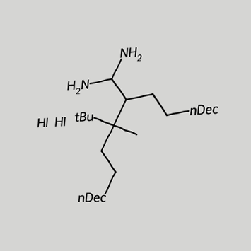 CCCCCCCCCCCCC(C(N)N)C(C)(CCCCCCCCCCCC)C(C)(C)C.I.I